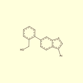 CC(=O)c1csc2cc(-c3ccccc3CO)ccc12